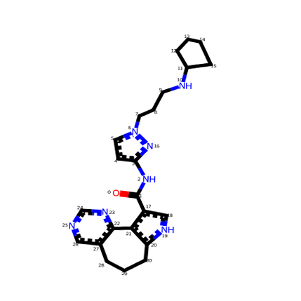 O=C(Nc1ccn(CCCNC2CCCC2)n1)c1c[nH]c2c1-c1ncncc1CCC2